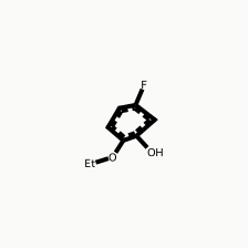 CCOc1ccc(F)cc1O